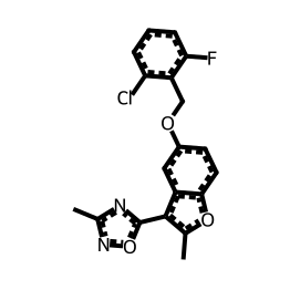 Cc1noc(-c2c(C)oc3ccc(OCc4c(F)cccc4Cl)cc23)n1